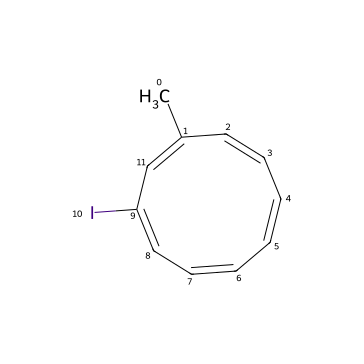 Cc1cccccccc(I)c1